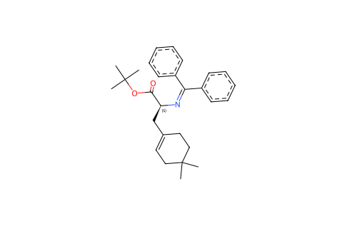 CC1(C)CC=C(C[C@H](N=C(c2ccccc2)c2ccccc2)C(=O)OC(C)(C)C)CC1